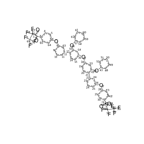 O=S(=O)(c1ccc(Oc2cccc(-c3ccc(Oc4ccc(-c5cccc(Oc6ccc(S(=O)(=O)C(F)(F)C(F)(F)F)cc6)c5)c(Oc5ccccc5)c4)cc3Oc3ccccc3)c2)cc1)C(F)(F)C(F)(F)F